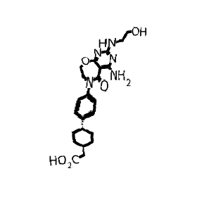 Nc1nc(NCCO)nc2c1C(=O)N(c1ccc([C@H]3CC[C@H](CC(=O)O)CC3)cc1)CCO2